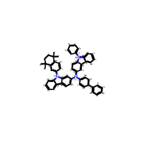 CC1(C)CCC(C)(C)c2cc(-n3c4ccccc4c4ccc(N(c5ccc(-c6ccccc6)cc5)c5ccc6c(c5)c5ccccc5n6-c5ccccc5)cc43)ccc21